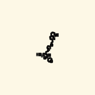 O=C(NC(CCN1CCC(OCCc2ccc3c(n2)NCCC3)C1)C(=O)O)C1CCOCC1